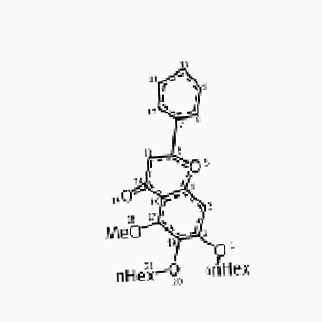 CCCCCCOc1cc2oc(-c3ccccc3)cc(=O)c2c(OC)c1OCCCCCC